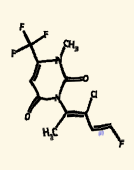 CC(=C(Cl)/C=C/F)n1c(=O)cc(C(F)(F)F)n(C)c1=O